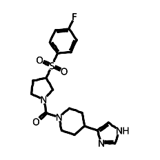 O=C(N1CCC(c2c[nH]cn2)CC1)N1CCC(S(=O)(=O)c2ccc(F)cc2)C1